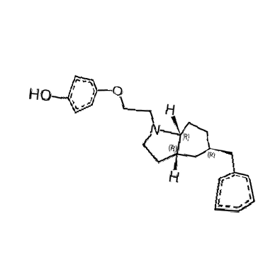 Oc1ccc(OCCN2CC[C@H]3C[C@H](Cc4ccccc4)CC[C@H]32)cc1